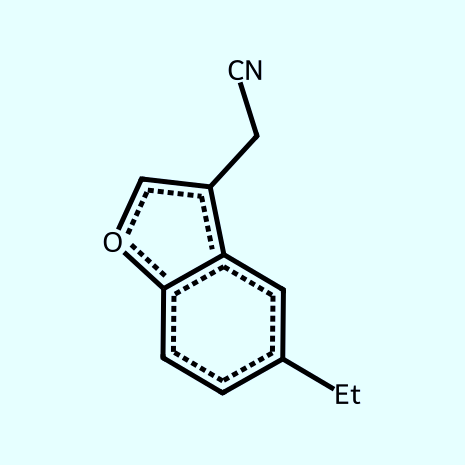 CCc1ccc2occ(CC#N)c2c1